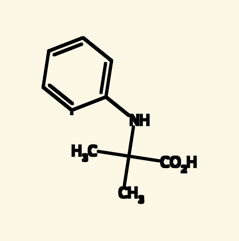 CC(C)(Nc1[c]cccc1)C(=O)O